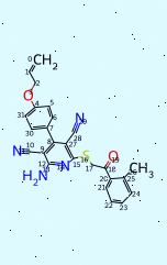 C=CCOc1ccc(-c2c(C#N)c(N)nc(SCC(=O)c3ccccc3C)c2C#N)cc1